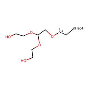 CCCCCCCC[SiH2]OCC(OCCO)OCCO